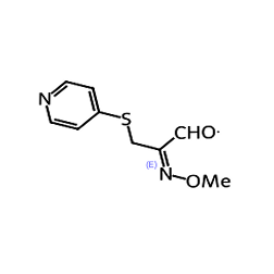 CO/N=C(\[C]=O)CSc1ccncc1